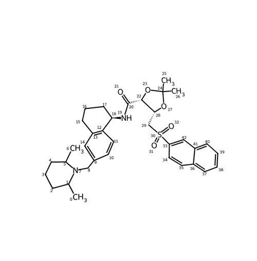 CC1CCCC(C)N1Cc1ccc2c(c1)CCC[C@H]2NC(=O)[C@@H]1OC(C)(C)O[C@@H]1CS(=O)(=O)c1ccc2ccccc2c1